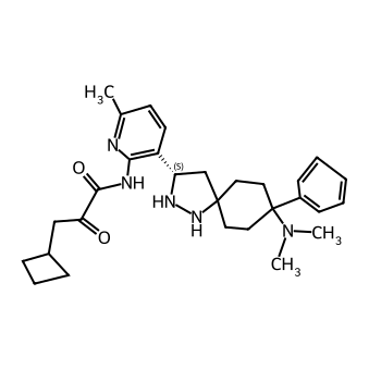 Cc1ccc([C@@H]2CC3(CCC(c4ccccc4)(N(C)C)CC3)NN2)c(NC(=O)C(=O)CC2CCC2)n1